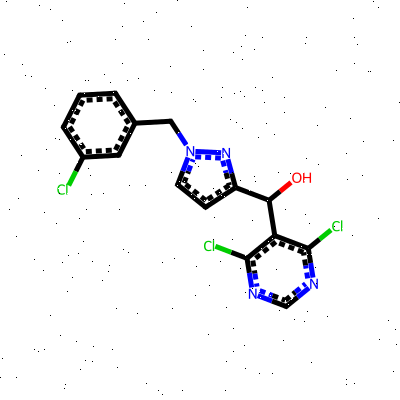 OC(c1ccn(Cc2cccc(Cl)c2)n1)c1c(Cl)ncnc1Cl